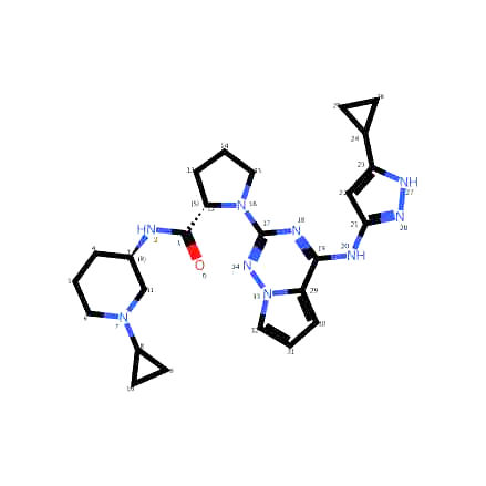 O=C(N[C@@H]1CCCN(C2CC2)C1)[C@@H]1CCCN1c1nc(Nc2cc(C3CC3)[nH]n2)c2cccn2n1